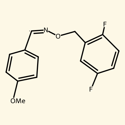 COc1ccc(/[C]=N\OCc2cc(F)ccc2F)cc1